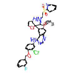 CCC(NCCS(=O)(=O)c1ccccn1)C1(c2cc3c(Nc4ccc(OCc5cccc(F)c5)c(Cl)c4)ncnc3cc2OC)CC=CO1